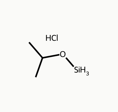 CC(C)O[SiH3].Cl